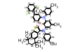 Cc1ccc(N2c3cc(-c4c(F)cccc4F)ccc3B3c4sc5cc6c(cc5c4N(c4ccc(C(C)(C)C)cc4)c4cc(C)cc2c43)C(C)(C)CCC6(C)C)c(C)c1